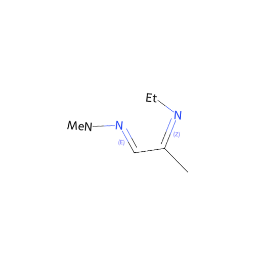 CC/N=C(C)\C=N\NC